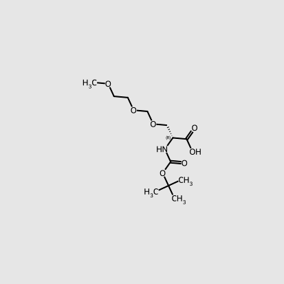 COCCOCOC[C@@H](NC(=O)OC(C)(C)C)C(=O)O